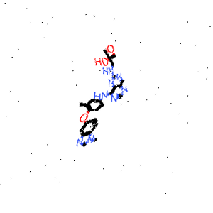 Cc1cc(Nc2ncnc3cnc(NCC4(O)COC4)nc23)ccc1Oc1ccc2c(c1)ncn2C